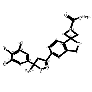 CCCCCCCC(=O)N1CC2(C1)OCc1cc(C3=NSC(c4cc(Cl)c(F)c(Cl)c4)(C(F)(F)F)C3)ccc12